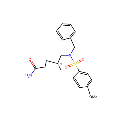 COc1ccc(S(=O)(=O)N(Cc2ccccc2)C[C@H](C)CCC(N)=O)cc1